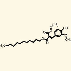 CCCCCCCCCCCCOC(=O)C(=Cc1ccc(O)c(OC)c1)C(=O)OOC